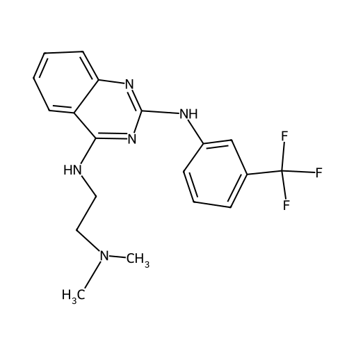 CN(C)CCNc1nc(Nc2cccc(C(F)(F)F)c2)nc2ccccc12